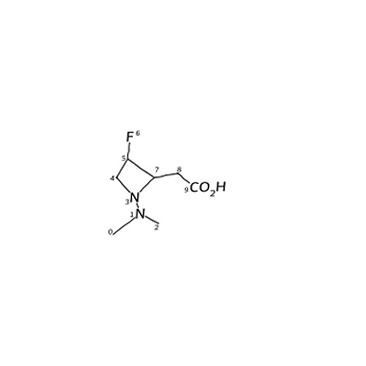 CN(C)N1CC(F)C1CC(=O)O